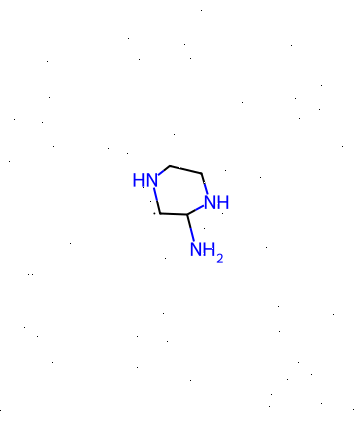 NC1[CH]NCCN1